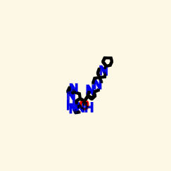 O=C(c1ccc(CN2CCC3(CCN(C4CCCCC4)CC3)C2)nc1)C(Cc1ncc[nH]1)Cc1ncc[nH]1